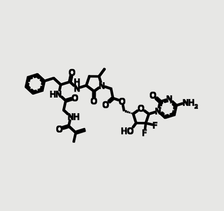 C=C(C)C(=O)NCC(=O)NC(Cc1ccccc1)C(=O)NC1CC(C)N(CC(=O)OC[C@@H]2OC(n3ccc(N)nc3=O)C(F)(F)C2O)C1=O